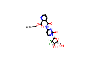 CCCCCCCCCCCOC(=O)c1ncccc1C(=O)Nc1ccn([C@@H]2O[C@H](CO)[C@@H](O)C2(F)F)c(=O)n1